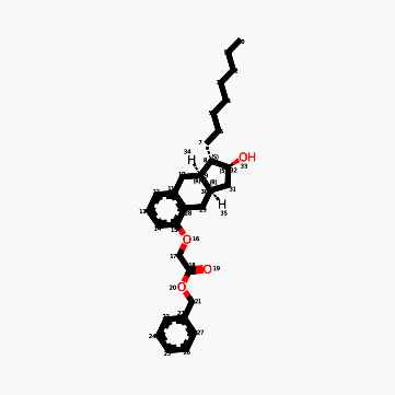 CCCCCCCC[C@H]1[C@@H]2Cc3cccc(OCC(=O)OCc4ccccc4)c3C[C@@H]2C[C@@H]1O